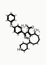 CC1CCCCC(C2CCNCC2)n2nc(-c3ccc(Oc4ccccc4)cc3)c(C(N)=O)c21